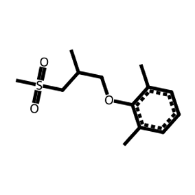 Cc1cccc(C)c1OCC(C)CS(C)(=O)=O